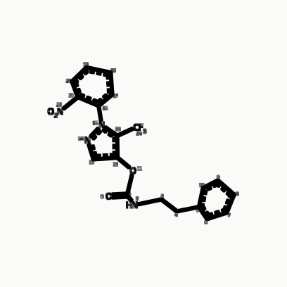 O=C(NCCc1ccccc1)Oc1cnn(-c2ccccc2[N+](=O)[O-])c1C(F)(F)F